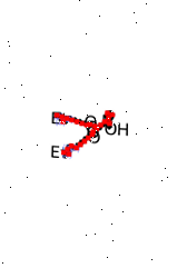 CC/C=C\C/C=C\C/C=C\CCCCCCCC(=O)OCC(CCCCN(CCO)C1CCCCC1)COC(=O)CCCCCCC/C=C\C/C=C\C/C=C\CC